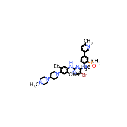 CCc1cc(Nc2ncc(Br)c(Nc3ccc(-c4ccc(C)nc4)cc3P(C)(C)=O)n2)c(OC)cc1N1CCC(N2CCN(C)CC2)CC1